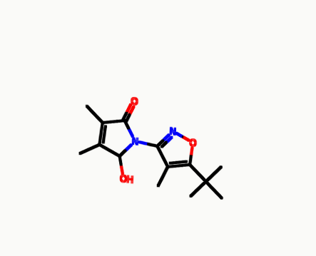 CC1=C(C)C(O)N(c2noc(C(C)(C)C)c2C)C1=O